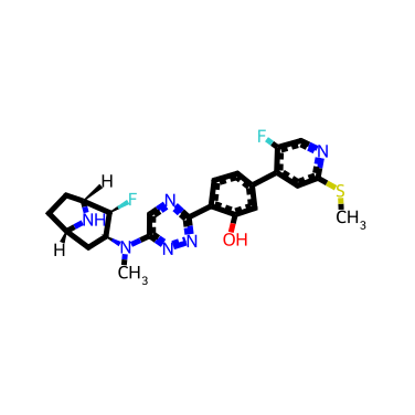 CSc1cc(-c2ccc(-c3ncc(N(C)[C@H]4C[C@@H]5CC[C@@H](N5)[C@H]4F)nn3)c(O)c2)c(F)cn1